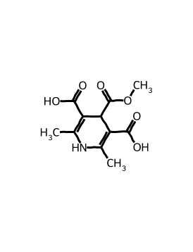 COC(=O)C1C(C(=O)O)=C(C)NC(C)=C1C(=O)O